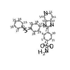 NS(=O)(=O)c1ccc(-c2nc3ccncc3n2-c2ccc(Sc3ccccc3)cc2)cc1